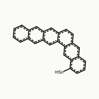 [SnH][c]1cccc2cc3ccc4cc5cc6ccccc6cc5cc4c3cc12